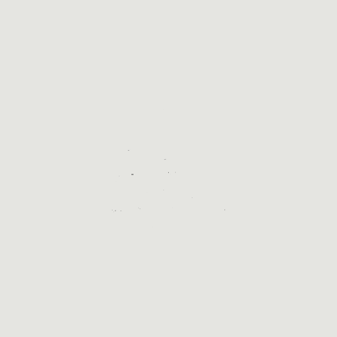 COC(=O)c1c(SCCF)nc2cc(F)c(F)cc2c1O